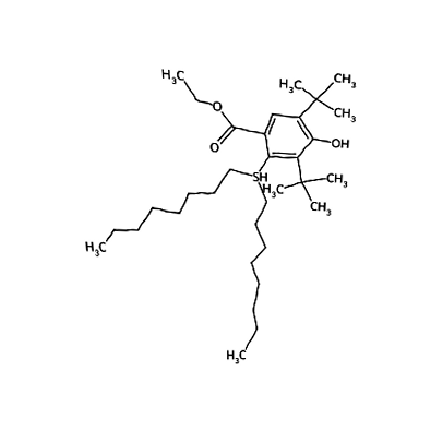 CCCCCCCC[SH](CCCCCCCC)c1c(C(=O)OCC)cc(C(C)(C)C)c(O)c1C(C)(C)C